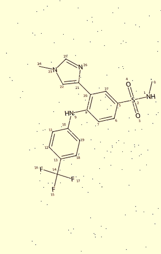 CNS(=O)(=O)c1ccc(Nc2ccc(C(F)(F)F)cc2)c(-c2cn(C)cn2)c1